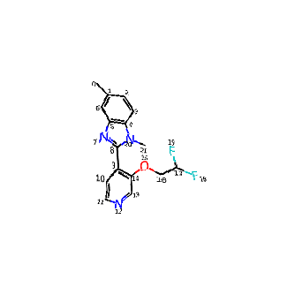 Cc1ccc2c(c1)nc(-c1ccncc1OCC(F)F)n2C